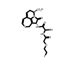 CCC(C)C(NC(=O)COCCF)C(=O)N[C@H]1C(=O)N2C3=C1CSC=CC3=CC[C@H]2C(=O)O